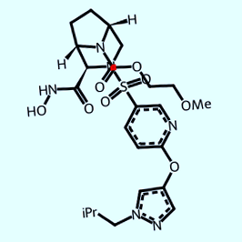 COCCOC(=O)N1[C@@H]2CC[C@H]1[C@H](C(=O)NO)N(S(=O)(=O)c1ccc(Oc3cnn(CC(C)C)c3)nc1)C2